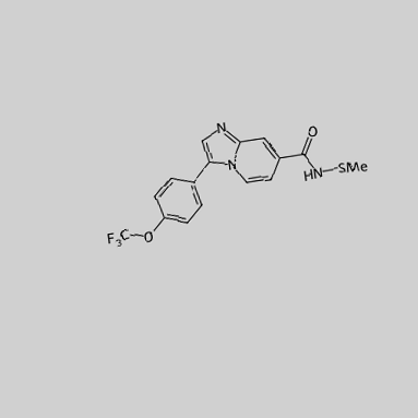 CSNC(=O)c1ccn2c(-c3ccc(OC(F)(F)F)cc3)cnc2c1